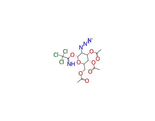 CC(=O)OCC1O[C@H](OC(=N)C(Cl)(Cl)Cl)C(N=[N+]=[N-])C(OC(C)=O)[C@@H]1OC(C)=O